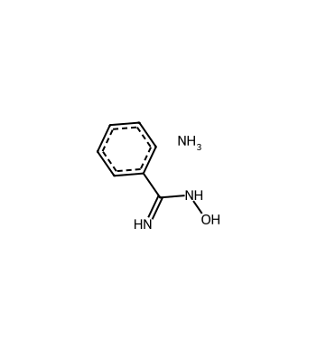 N.N=C(NO)c1ccccc1